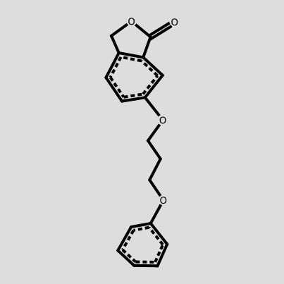 O=C1OCc2ccc(OCCCOc3ccccc3)cc21